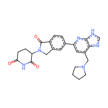 O=C1CCC(N2Cc3cc(-c4cc(CN5CCCC5)c5nc[nH]c5n4)ccc3C2=O)C(=O)N1